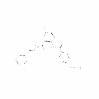 CCc1ccc(C(=O)Nc2ccc(Br)cc2C(=O)NN=Cc2cccc(C)c2)cc1